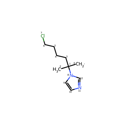 [CH2]C(C)(CCCCCl)n1ccnc1